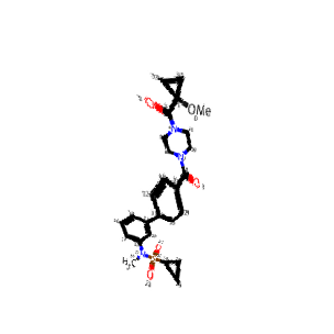 COC1(C(=O)N2CCN(C(=O)c3ccc(-c4cccc(N(C)S(=O)(=O)C5CC5)c4)cc3)CC2)CC1